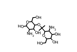 CC(C)(OC1C(CO)OC(O)C(N)C1O)C1OC(CO)C(O)C(O)C1N